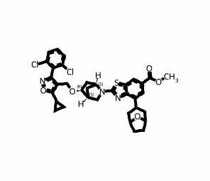 COC(=O)c1cc(C2CC3CCC(C2)O3)c2nc(N3C[C@@H]4C[C@H]3C[C@H]4OCc3c(-c4c(Cl)cccc4Cl)noc3C3CC3)sc2c1